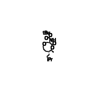 CC(C)CC[C@@H]1CCCOC[C@H](NC(=O)OC(C)(C)C)C(=O)O[C@H]1C